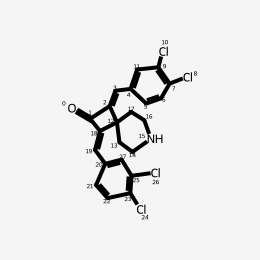 O=C1/C(=C/c2ccc(Cl)c(Cl)c2)C2(CCNCC2)/C1=C\c1ccc(Cl)c(Cl)c1